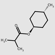 CC(C)C(=O)O[C@H]1CC[C@H](C)CC1